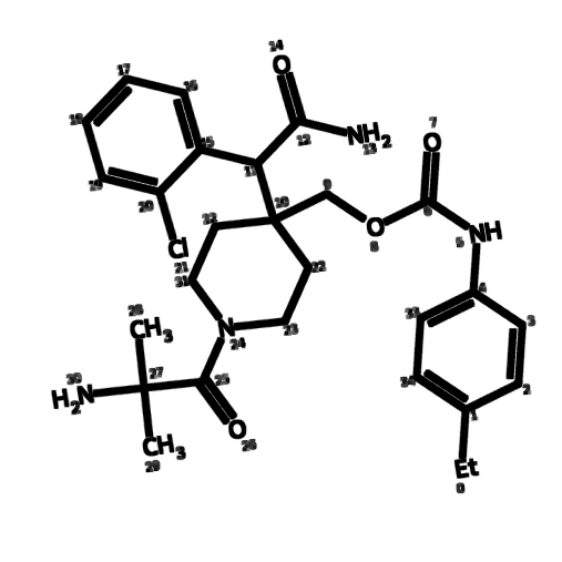 CCc1ccc(NC(=O)OCC2(C(C(N)=O)c3ccccc3Cl)CCN(C(=O)C(C)(C)N)CC2)cc1